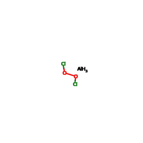 ClOOCl.[AlH3]